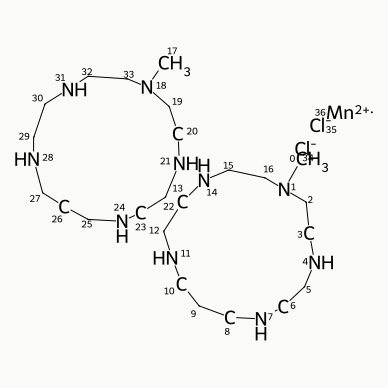 CN1CCNCCNCCCNCCNCC1.CN1CCNCCNCCCNCCNCC1.[Cl-].[Cl-].[Mn+2]